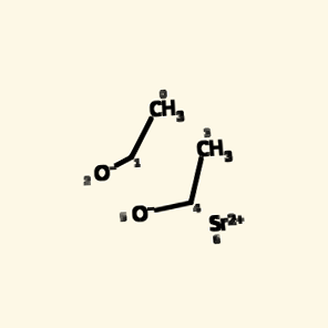 CC[O-].CC[O-].[Sr+2]